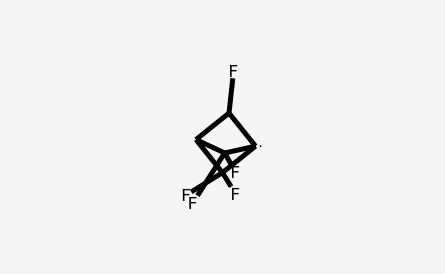 FC1[C]2C(F)(F)C1C2(F)F